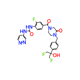 O=C(Nc1ccnnc1)Nc1ccc(C(=O)N2CCN(Cc3ccc(C(O)(CF)CF)cc3)C(=O)C2)cc1F